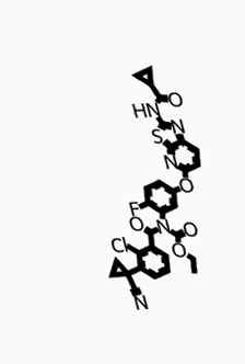 CCOC(=O)N(C(=O)c1cccc(C2(C#N)CC2)c1Cl)c1cc(Oc2ccc3nc(NC(=O)C4CC4)sc3n2)ccc1F